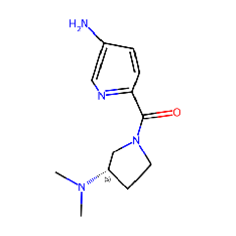 CN(C)[C@H]1CCN(C(=O)c2ccc(N)cn2)C1